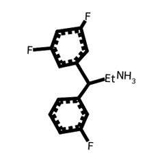 CCC(c1cccc(F)c1)c1cc(F)cc(F)c1.N